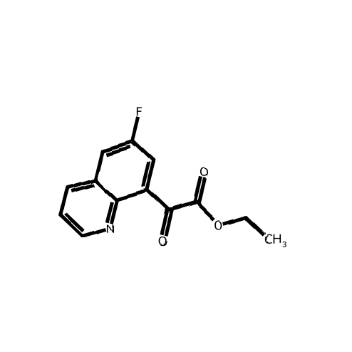 CCOC(=O)C(=O)c1cc(F)cc2cccnc12